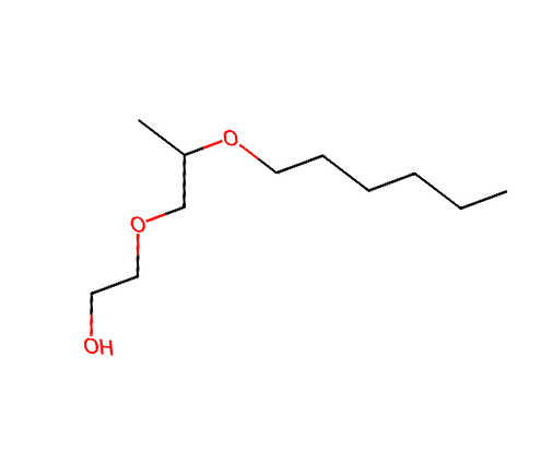 CCCCCCOC(C)COCCO